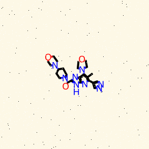 Cc1c(-c2cnn(C)c2)nc2[nH]c(C(=O)N3CCC(N4CCOCC4)CC3)nc2c1N1CCOCC1